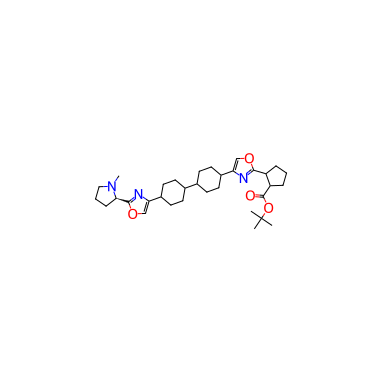 CN1CCC[C@@H]1c1nc(C2CCC(C3CCC(c4coc(C5CCCC5C(=O)OC(C)(C)C)n4)CC3)CC2)co1